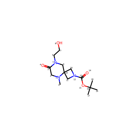 CN1CC(=O)N(CCO)CC12CN(C(=O)OC(C)(C)C)C2